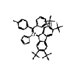 Cc1ccc([C](c2cccc(Cl)c2)=[Zr]([C]2=CC=CC2)[CH]2c3cc(C(C)(C)C)c(C(C)(C)C)cc3-c3cc(C(C)(C)C)c(C(C)(C)C)cc32)cc1